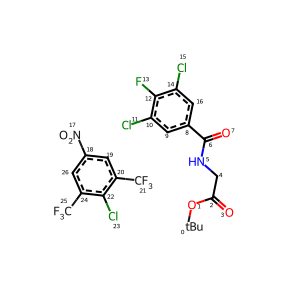 CC(C)(C)OC(=O)CNC(=O)c1cc(Cl)c(F)c(Cl)c1.O=[N+]([O-])c1cc(C(F)(F)F)c(Cl)c(C(F)(F)F)c1